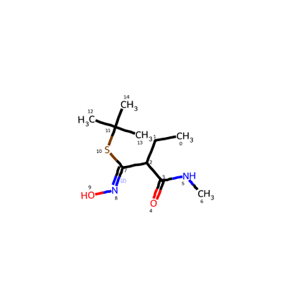 CCC(C(=O)NC)/C(=N/O)SC(C)(C)C